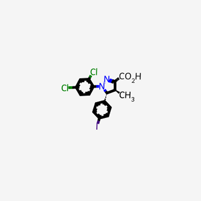 C[C@@H]1C(C(=O)O)=NN(c2ccc(Cl)cc2Cl)[C@H]1c1ccc(I)cc1